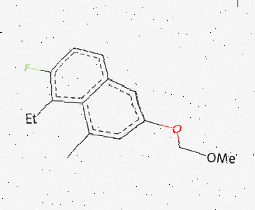 CCc1c(F)ccc2cc(OCOC)cc(C)c12